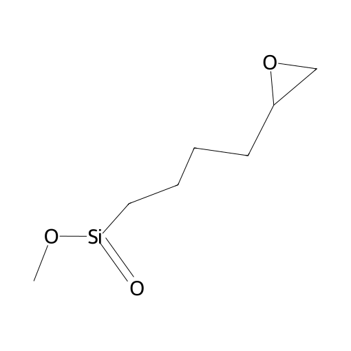 CO[Si](=O)CCCCC1CO1